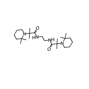 CC1(C)CCCCN1C(C)(C)C(=O)NCCNC(=O)C(C)(C)N1CCCCC1(C)C